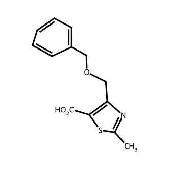 Cc1nc(COCc2ccccc2)c(C(=O)O)s1